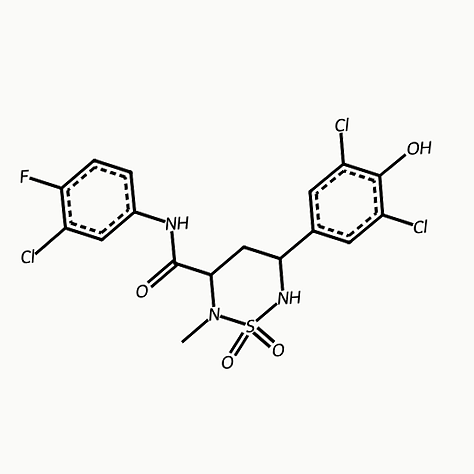 CN1C(C(=O)Nc2ccc(F)c(Cl)c2)CC(c2cc(Cl)c(O)c(Cl)c2)NS1(=O)=O